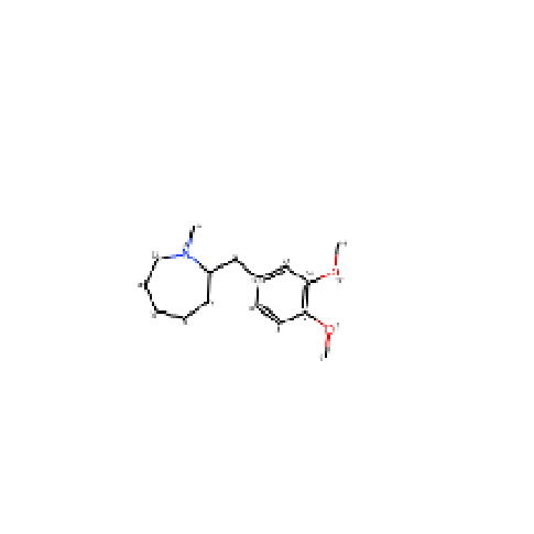 COc1ccc(CC2CCCCCN2C)cc1OC